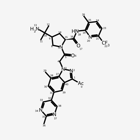 CC(=O)c1nn(CC(=O)N2CC(C(C)(C)N)C[C@H]2C(=O)Nc2nc(C(F)(F)F)ccc2C)c2c(C)cc(-c3cnc(C)nc3)cc12